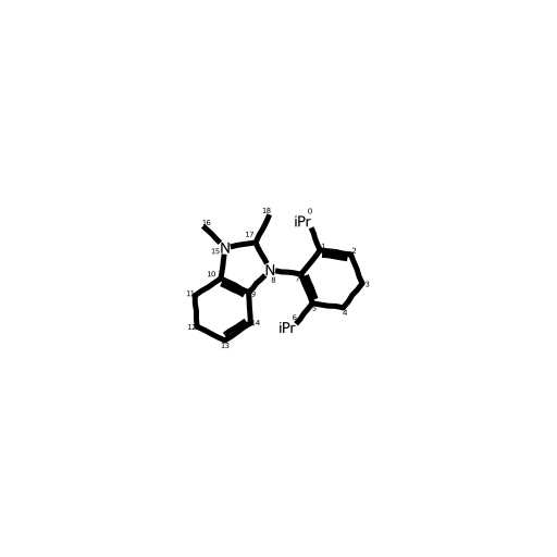 CC(C)C1=CCCC(C(C)C)=C1N1C2=C(CCC=C2)N(C)C1C